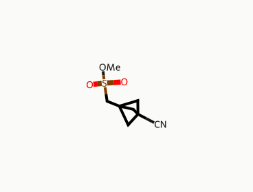 COS(=O)(=O)CC12CC(C#N)(C1)C2